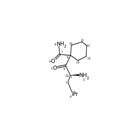 CC(C)C[C@H](N)C(=O)C1(C(N)=O)CCCCC1